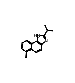 Cc1cccc2c1ccc1nc(C(C)C)[nH]c12